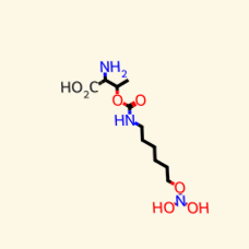 CC(OC(=O)NCCCCCCON(O)O)C(N)C(=O)O